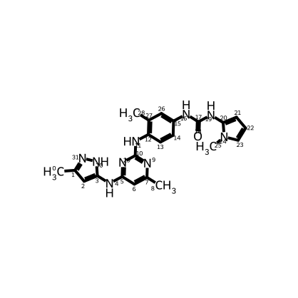 Cc1cc(Nc2cc(C)nc(Nc3ccc(NC(=O)Nc4cccn4C)cc3C)n2)[nH]n1